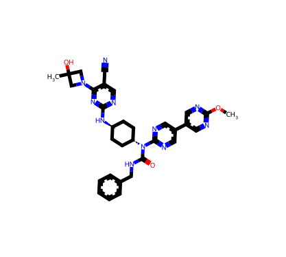 COc1ncc(-c2cnc(N(C(=O)NCc3ccccc3)[C@H]3CC[C@H](Nc4ncc(C#N)c(N5CC(C)(O)C5)n4)CC3)nc2)cn1